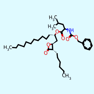 CCCCCCCCCCC[C@@H](C[C@@H]1OC(=O)[C@H]1CCCCCC)OC(=O)C(CC(C)C)NC(=O)OCc1ccccc1